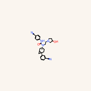 N#Cc1ccc(NC(=O)N(CCN2CC[C@@H](O)C2)[C@@H]2CC[C@]3(c4cccc(C#N)c4)CC3C2)cc1